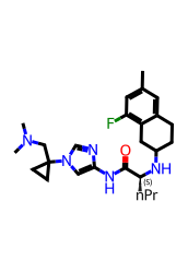 CCC[C@H](NC1CCc2cc(C)cc(F)c2C1)C(=O)Nc1cn(C2(CN(C)C)CC2)cn1